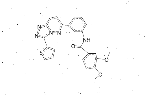 COc1ccc(C(=O)Nc2cccc(-c3ccc4nnc(-c5cccs5)n4n3)c2)cc1OC